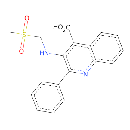 CS(=O)(=O)CNc1c(-c2ccccc2)nc2ccccc2c1C(=O)O